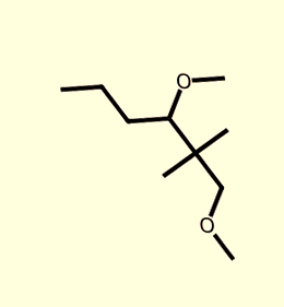 CCCC(OC)C(C)(C)COC